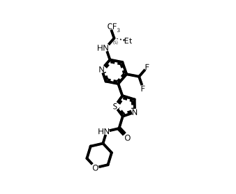 CC[C@H](Nc1cc(C(F)F)c(-c2cnc(C(=O)NC3CCOCC3)s2)cn1)C(F)(F)F